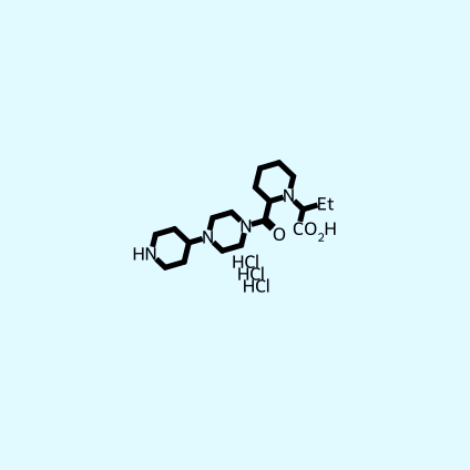 CCC(C(=O)O)N1CCCCC1C(=O)N1CCN(C2CCNCC2)CC1.Cl.Cl.Cl